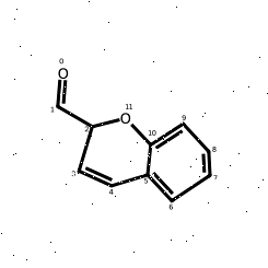 O=CC1C=Cc2ccccc2O1